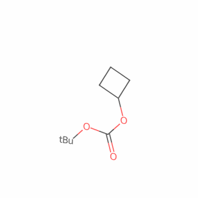 CC(C)(C)OC(=O)OC1CCC1